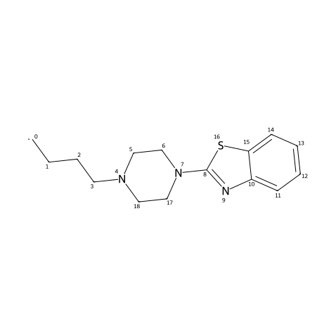 [CH2]CCCN1CCN(c2nc3ccccc3s2)CC1